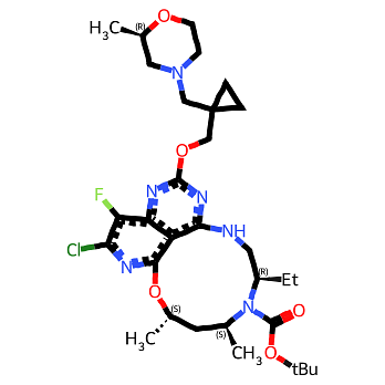 CC[C@@H]1CNc2nc(OCC3(CN4CCO[C@H](C)C4)CC3)nc3c(F)c(Cl)nc(c23)O[C@@H](C)C[C@H](C)N1C(=O)OC(C)(C)C